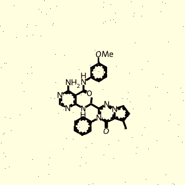 COc1cccc(NC(=O)c2c(N)ncnc2NC(C)c2nn3ccc(C)c3c(=O)n2-c2ccccc2)c1